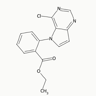 CCOC(=O)c1ccccc1-n1ccc2ncnc(Cl)c21